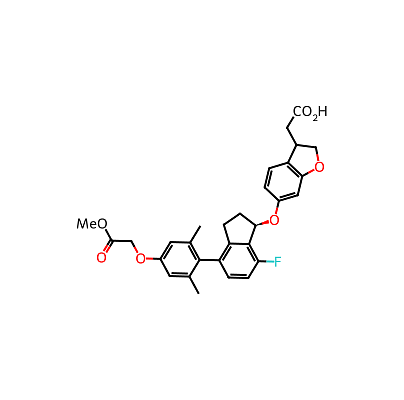 COC(=O)COc1cc(C)c(-c2ccc(F)c3c2CC[C@H]3Oc2ccc3c(c2)OCC3CC(=O)O)c(C)c1